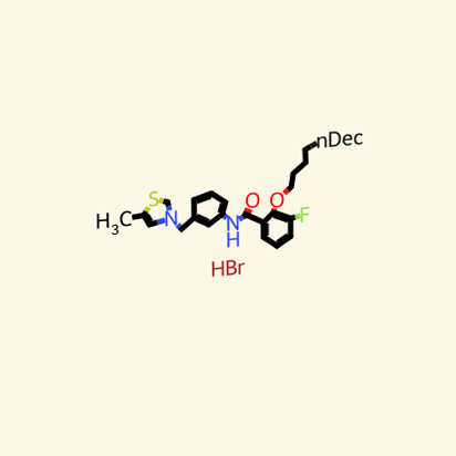 Br.CCCCCCCCCCCCCCOc1c(F)cccc1C(=O)Nc1cccc(CN2C=C(C)SC2)c1